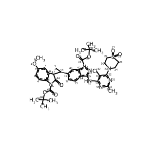 COc1ccc2c(c1)[C@]1(C[C@H]1c1ccc3c(Nc4nc(C)nc(N5CCS(=O)(=O)CC5)c4Cl)nn(C(=O)OC(C)(C)C)c3c1)C(=O)N2C(=O)OC(C)(C)C